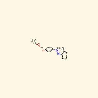 C=COCCOc1ccc(/N=N/c2ccccc2[N+](=O)[O-])cc1